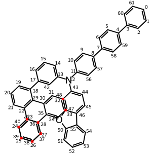 c1ccc(-c2ccc(-c3ccc(N(c4cccc(-c5cccc(-c6ccccc6)c5-c5ccccc5-c5ccccc5)c4)c4ccc5c(c4)oc4ccccc45)cc3)cc2)cc1